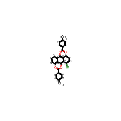 Cc1ccc(C(=O)Oc2c3ccccc3c(OC(=O)c3ccc(C)cc3)c3c(Br)cccc23)cc1